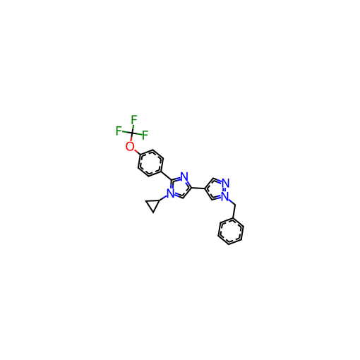 FC(F)(F)Oc1ccc(-c2nc(-c3cnn(Cc4ccccc4)c3)cn2C2CC2)cc1